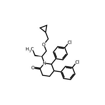 CC[C@@H](COCC1CC1)N1C(=O)CCC(c2cccc(Cl)c2)C1c1ccc(Cl)cc1